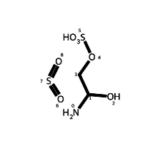 NC(O)COS(=O)(=O)O.O=S=O